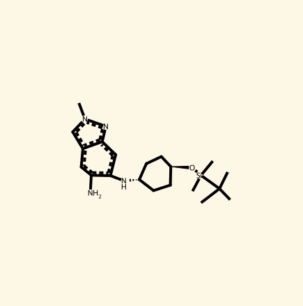 Cn1cc2cc(N)c(N[C@H]3CC[C@H](O[Si](C)(C)C(C)(C)C)CC3)cc2n1